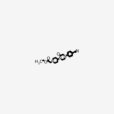 CCOC(=O)CN1CCC(N2CCN(c3ccc(C#N)cc3)CC2=O)CC1